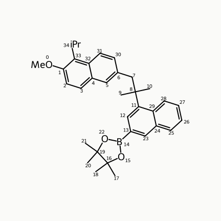 COc1ccc2cc(CC(C)(C)c3cc(B4OC(C)(C)C(C)(C)O4)cc4ccccc34)ccc2c1C(C)C